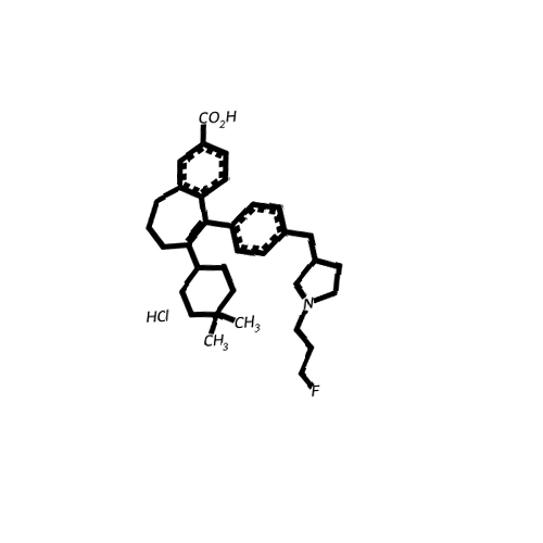 CC1(C)CCC(C2=C(c3ccc(CC4CCN(CCCF)C4)cc3)c3ccc(C(=O)O)cc3CCC2)CC1.Cl